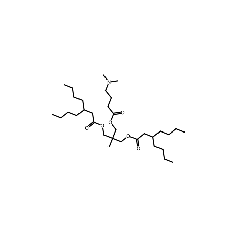 [CH2]C(COC(=O)CCCN(C)C)(COC(=O)CC(CCCC)CCCC)COC(=O)CC(CCCC)CCCC